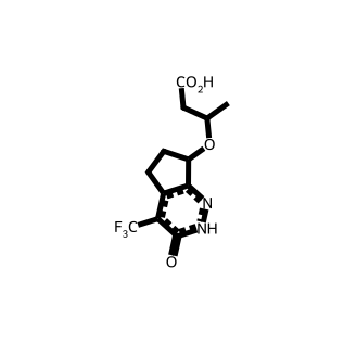 CC(CC(=O)O)OC1CCc2c1n[nH]c(=O)c2C(F)(F)F